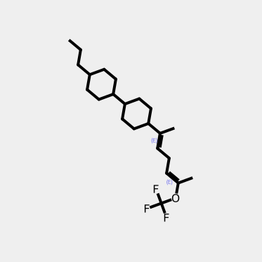 CCCC1CCC(C2CCC(/C(C)=C/C/C=C(\C)OC(F)(F)F)CC2)CC1